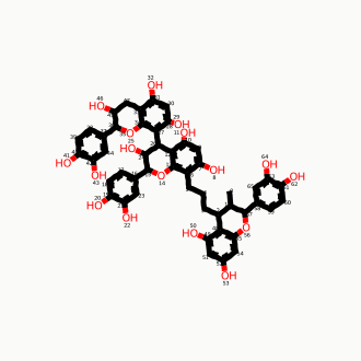 CC1C(CCCc2c(O)cc(O)c3c2OC(c2ccc(O)c(O)c2)C(O)C3c2c(O)cc(O)c3c2OC(c2ccc(O)c(O)c2)C(O)C3)c2c(O)cc(O)cc2OC1c1ccc(O)c(O)c1